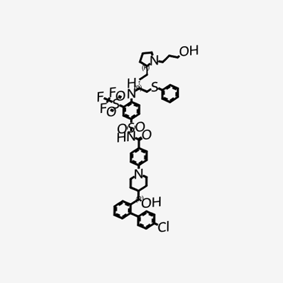 O=C(NS(=O)(=O)c1ccc(N[C@H](CC[C@H]2CCCN2CCCO)CSc2ccccc2)c(S(=O)(=O)C(F)(F)F)c1)c1ccc(N2CCC([C@@H](O)c3ccccc3-c3ccc(Cl)cc3)CC2)cc1